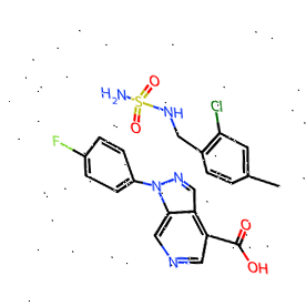 Cc1ccc(CNS(N)(=O)=O)c(Cl)c1.O=C(O)c1cncc2c1cnn2-c1ccc(F)cc1